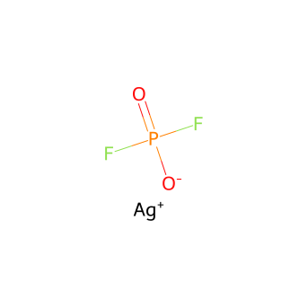 O=P([O-])(F)F.[Ag+]